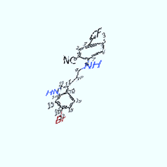 N#Cc1cc(C(F)(F)F)ccc1NCCc1c[nH]c2cc(Br)ccc12